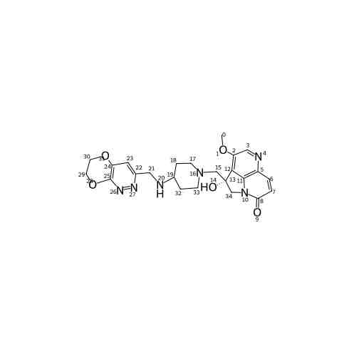 COc1cnc2ccc(=O)n3c2c1[C@](O)(CN1CCC(NCc2cc4c(nn2)OCCO4)CC1)C3